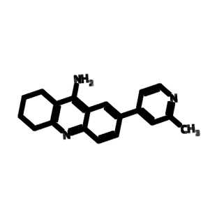 Cc1cc(-c2ccc3nc4c(c(N)c3c2)CCCC4)ccn1